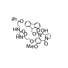 COc1cc2c(cc1OCCC(=O)NC(C)C(=O)NCCC(=O)C(C)C)N(C(=O)OCC1c3ccccc3-c3ccccc31)C(O)C1CCCN1C2=O